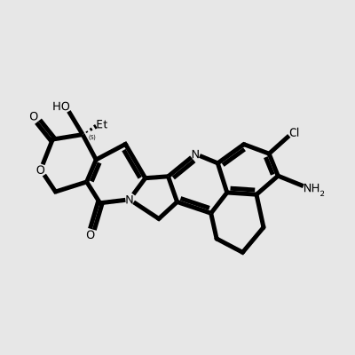 CC[C@@]1(O)C(=O)OCc2c1cc1n(c2=O)Cc2c-1nc1cc(Cl)c(N)c3c1c2CCC3